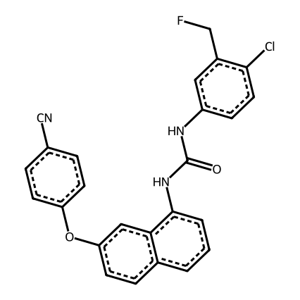 N#Cc1ccc(Oc2ccc3cccc(NC(=O)Nc4ccc(Cl)c(CF)c4)c3c2)cc1